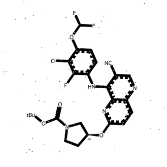 CC(C)(C)OC(=O)N1CC[C@H](Oc2ccc3ncc(C#N)c(Nc4ccc(OC(F)F)c(Cl)c4F)c3n2)C1